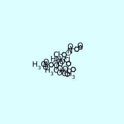 CC(OC(=O)[C@H](Cc1cccc(S(C)(=O)=O)c1)NC(=O)c1c(Cl)cc2c(c1Cl)CCN(C(=O)c1ccc3ccoc3c1)C2)OC(=O)[C@@H](C)OC(c1ccccc1)(c1ccccc1)c1ccccc1